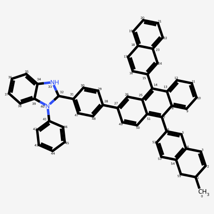 CC1C=Cc2cc(-c3c4ccccc4c(-c4ccc5ccccc5c4)c4cc(-c5ccc(C6Nc7ccccc7N6c6ccccc6)cc5)ccc34)ccc2C1